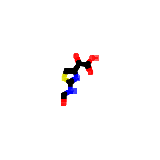 O=CNc1nc(C(=O)C(=O)O)cs1